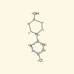 OC1CCN(c2ncc(Cl)cn2)CC1